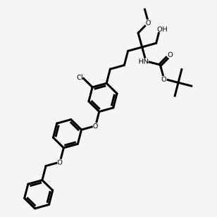 COCC(CO)(CCCc1ccc(Oc2cccc(OCc3ccccc3)c2)cc1Cl)NC(=O)OC(C)(C)C